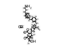 CSc1c2sc(C3=C(C(=O)[O-])N4C(=O)[C@H]([C@@H](C)O)[C@H]4[C@H]3C)c[n+]2cn1Cc1cccc(C[N+]23CC[N+](CCCN)(CC2)CC3)c1.[Cl-].[Cl-]